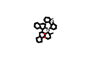 Cc1ccccc1N(c1ccc2ccccc2c1-c1ccc2ccccc2c1)c1cccc2sc3ccccc3c12